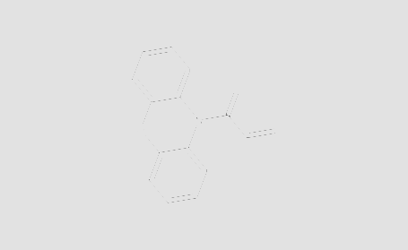 C=CC(=O)N1c2ccccc2Oc2ccccc21